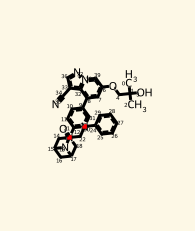 CC(C)(O)COc1cc(-c2ccc(N3CC4CC(C3)N4C(=O)CCc3ccccc3)nc2)c2c(C#N)cnn2c1